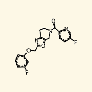 O=C(c1ccc(F)cn1)N1CCc2nc(COc3cccc(F)c3)oc2C1